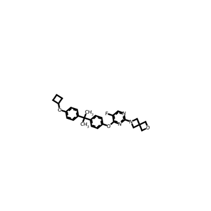 CC(C)(c1ccc(Oc2nc(N3CC4(COC4)C3)ncc2F)cc1)c1ccc(OC2CCC2)cc1